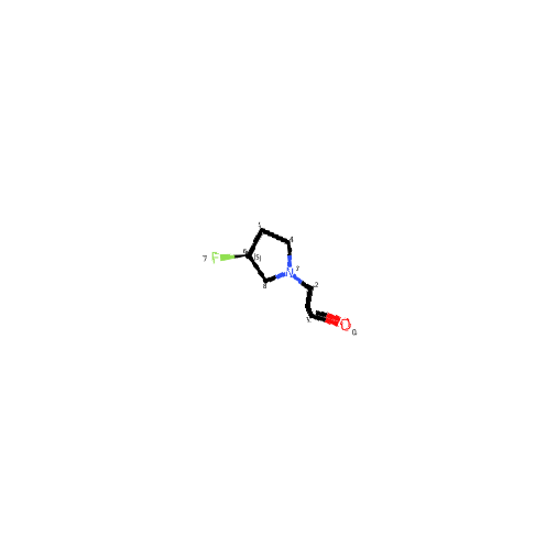 O=CCN1CC[C@H](F)C1